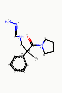 CCCC(CNC=NN)(C(=O)N1CCCC1)c1ccccc1